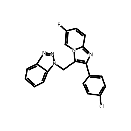 Fc1ccc2nc(-c3ccc(Cl)cc3)c(Cn3nnc4ccccc43)n2c1